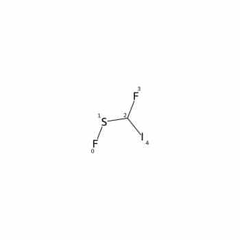 FSC(F)I